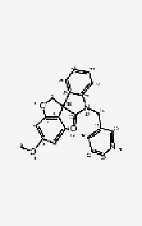 COc1ccc2c(c1)OCC21C(=O)N(Cc2cccnc2)c2ccccc21